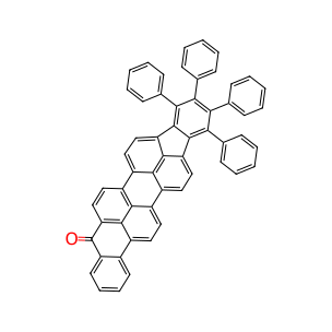 O=C1c2ccccc2-c2ccc3c4ccc5c6c(ccc(c7ccc1c2c73)c64)-c1c(-c2ccccc2)c(-c2ccccc2)c(-c2ccccc2)c(-c2ccccc2)c1-5